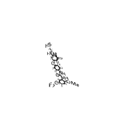 COc1ccc(C(F)(F)F)cc1NC(=O)Nc1ccc(Oc2ccnc(NCCCO)n2)cc1